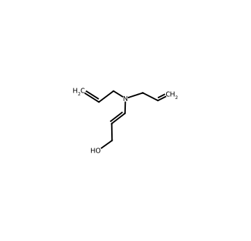 C=CCN(C=CCO)CC=C